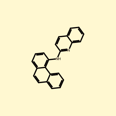 c1ccc2nc(Nc3cccc4ccc5ccccc5c34)ccc2c1